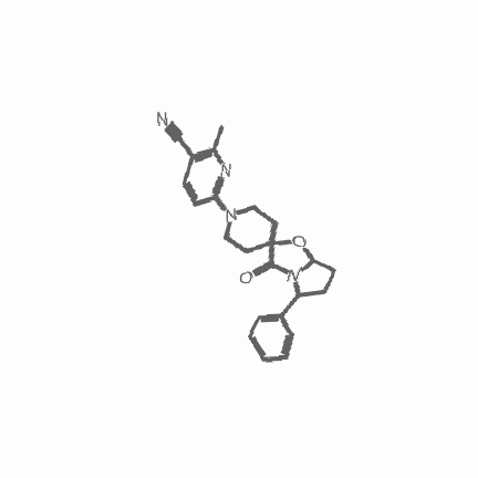 Cc1nc(N2CCC3(CC2)OC2CCC(c4ccccc4)N2C3=O)ccc1C#N